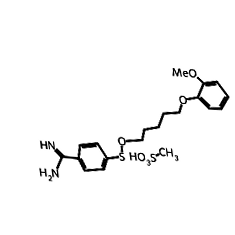 COc1ccccc1OCCCCCOSc1ccc(C(=N)N)cc1.CS(=O)(=O)O